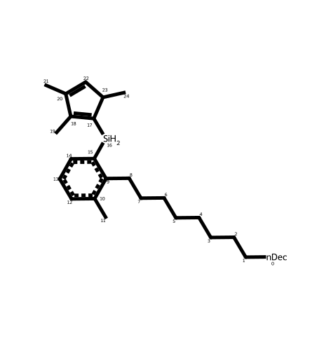 CCCCCCCCCCCCCCCCCCc1c(C)cccc1[SiH2]C1=C(C)C(C)=CC1C